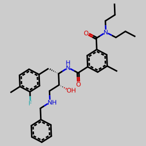 CCCN(CCC)C(=O)c1cc(C)cc(C(=O)N[C@@H](Cc2ccc(C)c(F)c2)[C@H](O)CNCc2ccccc2)c1